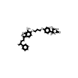 CCCc1c(OCCCOc2ccc(C3(F)SC(=O)NC3=O)cc2)ccc2c(CCC(C)c3ccccc3)noc12